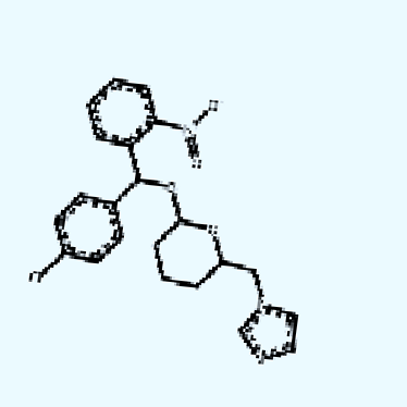 O=[N+]([O-])c1ccccc1C(OC1CCCC(Cn2ccnc2)O1)c1ccc(Cl)cc1